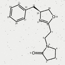 O=C1CCCN1CCC1=N[C@@H](Cc2ccccc2)CO1